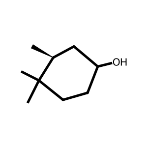 C[C@H]1CC(O)CCC1(C)C